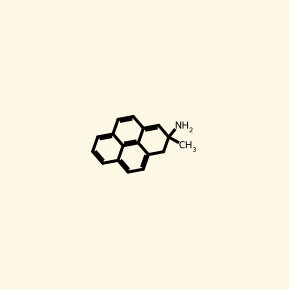 CC1(N)C=c2ccc3cccc4ccc(c2c43)C1